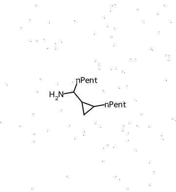 CCCCCC(N)C1CC1CCCCC